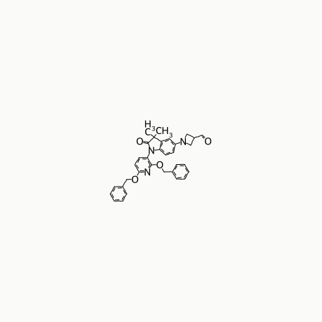 CC1(C)C(=O)N(c2ccc(OCc3ccccc3)nc2OCc2ccccc2)c2ccc(N3CC(C=O)C3)cc21